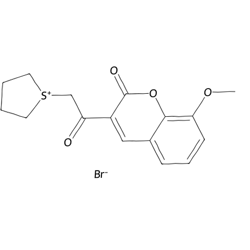 COc1cccc2cc(C(=O)C[S+]3CCCC3)c(=O)oc12.[Br-]